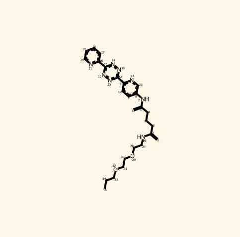 C=C(CCCC(=C)Nc1ccc(-c2nnc(-c3ccccn3)nn2)nc1)NCCOCCOCCC